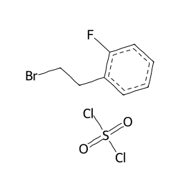 Fc1ccccc1CCBr.O=S(=O)(Cl)Cl